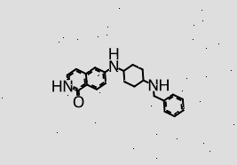 O=c1[nH]ccc2cc(NC3CCC(NCc4ccccc4)CC3)ccc12